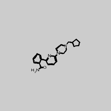 NC(=O)c1ccccc1-c1cccc(N2CCN(CC3CCCC3)CC2)n1